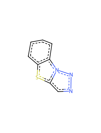 c1ccc2c(c1)sc1cnnn12